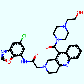 O=C(CN1CCc2nc3ccccc3c(C(=O)N3CCN(CCO)CC3)c2C1)Nc1cc(Cl)cc2ncoc12